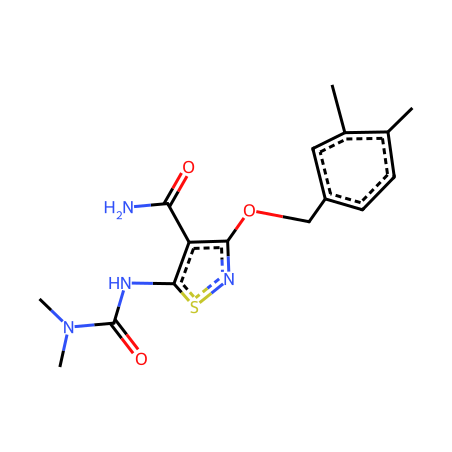 Cc1ccc(COc2nsc(NC(=O)N(C)C)c2C(N)=O)cc1C